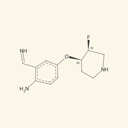 N=Cc1cc(O[C@@H]2CCNC[C@@H]2F)ccc1N